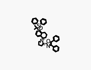 CC(C)(C)[Si](Oc1cccc2c1CCC[C@@H]2N1CCC[C@H]1c1nc(-c2ccccc2)c(-c2ccccc2)o1)(c1ccccc1)c1ccccc1